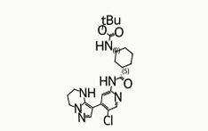 CC(C)(C)OC(=O)N[C@@H]1CCC[C@H](C(=O)Nc2cc(-c3cnn4c3NCCC4)c(Cl)cn2)C1